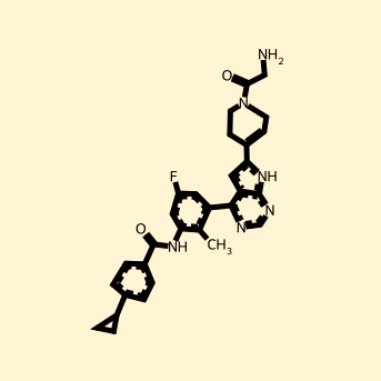 Cc1c(NC(=O)c2ccc(C3CC3)cc2)cc(F)cc1-c1ncnc2[nH]c(C3=CCN(C(=O)CN)CC3)cc12